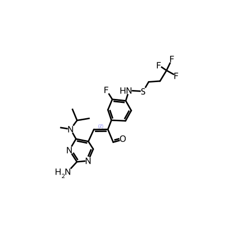 CC(C)N(C)c1nc(N)ncc1/C=C(\C=O)c1ccc(NSCCC(F)(F)F)c(F)c1